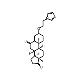 C[C@]12CCC(OCCn3ccnc3)CC1C(=O)C[C@@H]1[C@H]2CC[C@]2(C)C(=O)CC[C@@H]12